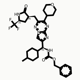 CC1CCC([C@H](NC(=O)OCc2ccccc2)c2cn3nc(C[C@H]4C[C@@H](C(F)(F)F)NC4=O)c(C4CCOCC4)nc3n2)CC1